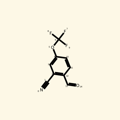 N#Cc1cc(OC(F)(F)F)ccc1C=O